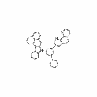 C1=Cc2cccc3cc4c(c(c23)C1)c1ccccc1n4-c1cc(-c2ccccc2)cc(-c2cnc3c(ccc4cccnc43)c2)c1